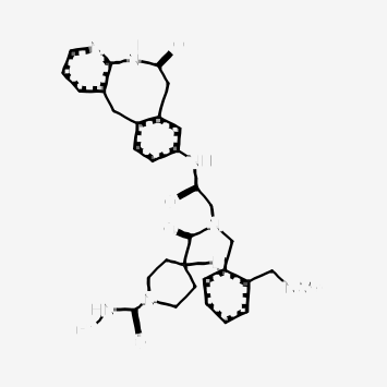 CCC1(C(=O)N(CC(=O)Nc2ccc3c(c2)CC(=O)Nc2ncccc2C3)Cc2ccccc2CNC)CCN(C(=O)NC(C)C)CC1